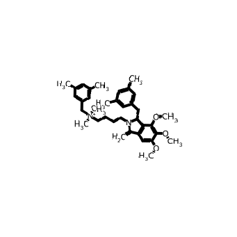 C=C1c2cc(OC)c(OC)c(OC)c2C(Cc2cc(C)cc(C)c2)N1CCCC[N+](C)(C)Cc1cc(C)cc(C)c1